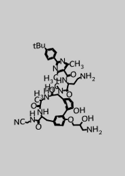 Cc1nc(-c2ccc(C(C)(C)C)cc2)nc(C)c1C(=O)NC(CCN)C(=O)N(C)C1C(=O)NC(C)C(=O)NC(C(=O)NCC#N)Cc2ccc(OCC(O)CN)c(c2)-c2cc1ccc2O